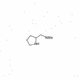 C[N]CC1CCCN1